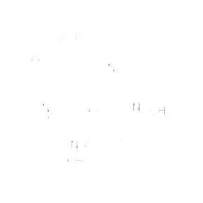 CN1CCCCN(C)CCN2CCOCCOCCN(CCOCC2)CC1